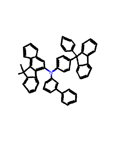 CC1(C)c2ccccc2-c2c(N(c3ccc(C4(c5ccccc5)c5ccccc5-c5ccccc54)cc3)c3cccc(-c4ccccc4)c3)cc3ccccc3c21